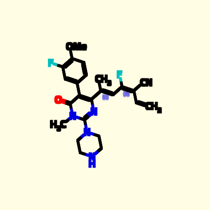 C=C/C(C#N)=C(F)\C=C(/C)c1nc(N2CCNCC2)n(C)c(=O)c1-c1ccc(OC)c(F)c1